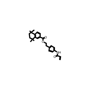 C=CC(=O)Nc1ccc(CCOC(=O)c2ccc3c(c2)C(C)(C)CCC3(C)C)cc1